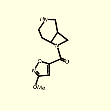 COc1cc(C(=O)N2CC3CNCCC32)on1